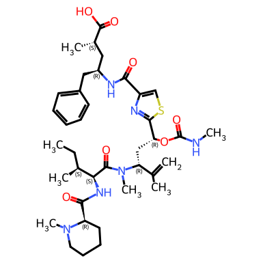 C=C(C)[C@@H](C[C@@H](OC(=O)NC)c1nc(C(=O)N[C@@H](Cc2ccccc2)C[C@H](C)C(=O)O)cs1)N(C)C(=O)[C@@H](NC(=O)[C@H]1CCCCN1C)[C@@H](C)CC